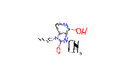 Cn1c(=O)n(C)c2c(O)nccc21